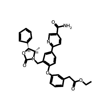 CCOC(=O)Cc1cccc(Oc2ccc(-c3ccc(C(N)=O)cn3)cc2CN2C(=O)O[C@H](c3ccccc3)[C@@H]2C)c1